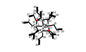 C=CC[Si](CC=C)(CC=C)[Si]([Si](CC=C)(CC=C)CC=C)([Si](CC=C)(CC=C)CC=C)[Si](CC=C)(CC=C)CC=C